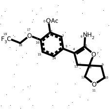 CC(=O)Oc1cc(C2=C(N)OC3(CCOC3)C2)ccc1OCC(F)(F)F